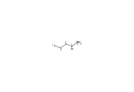 BPSSI